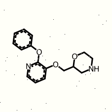 c1ccc(Oc2ncccc2OCC2CNCCO2)cc1